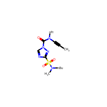 CC#CN(CCC)C(=O)n1cnc(S(=O)(=O)N(C)CCCC)n1